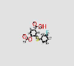 CC(=O)Oc1ccc(C(=O)O)cc1Sc1cccc(F)c1